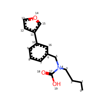 CCCCN(Cc1cccc(-c2ccoc2)c1)C(=O)O